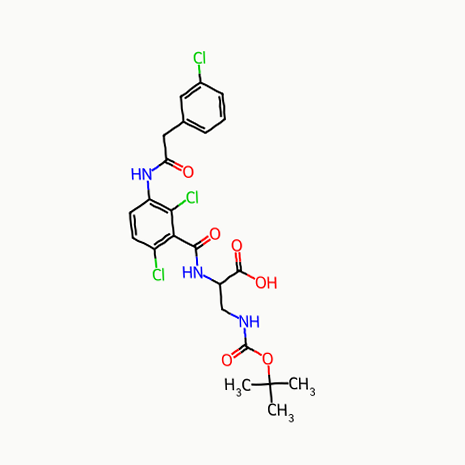 CC(C)(C)OC(=O)NCC(NC(=O)c1c(Cl)ccc(NC(=O)Cc2cccc(Cl)c2)c1Cl)C(=O)O